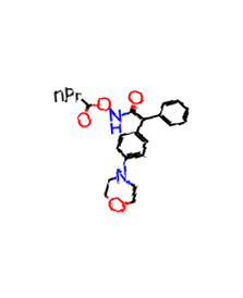 CCCC(=O)ONC(=O)C(c1ccccc1)c1ccc(N2CCOCC2)cc1